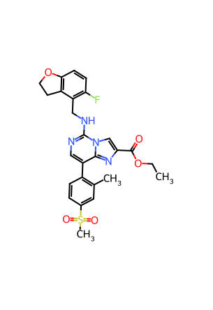 CCOC(=O)c1cn2c(NCc3c(F)ccc4c3CCO4)ncc(-c3ccc(S(C)(=O)=O)cc3C)c2n1